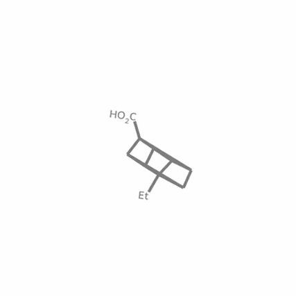 CCC12C3C4C1C1C2C3C41C(=O)O